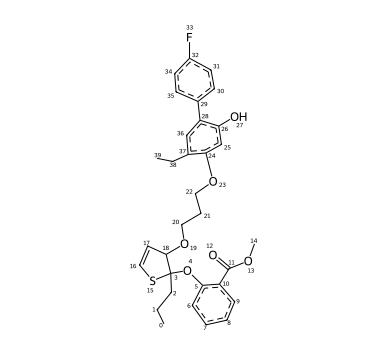 CCCC1(Oc2ccccc2C(=O)OC)SC=CC1OCCCOc1cc(O)c(-c2ccc(F)cc2)cc1CC